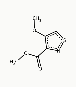 COC(=O)c1nscc1OC